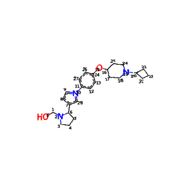 OCN1CCCC1c1ccn(-c2ccc(OC3CCN(C4CCC4)CC3)cc2)c1